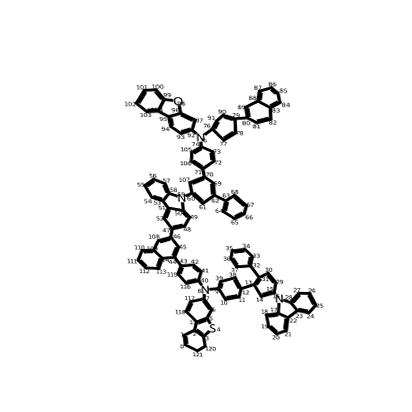 C1=Cc2c(sc3cc(N(c4ccc(-c5cc(-n6c7ccccc7c7ccccc76)ccc5-c5ccccc5)cc4)c4ccc(-c5cc(-c6ccc7c(c6)c6ccccc6n7-c6cc(-c7ccccc7)cc(-c7ccc(N(c8ccc(-c9ccc%10ccccc%10c9)cc8)c8ccc9c(c8)oc8ccccc89)cc7)c6)cc6ccccc56)cc4)ccc23)CC1